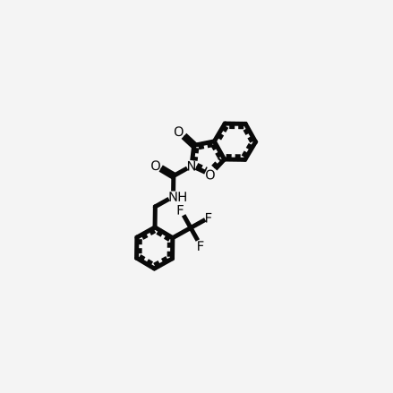 O=C(NCc1ccccc1C(F)(F)F)n1oc2ccccc2c1=O